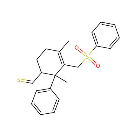 CC1=C(CS(=O)(=O)c2ccccc2)C(C)(c2ccccc2)C(C=S)CC1